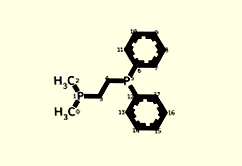 CP(C)CCP(c1ccccc1)c1ccccc1